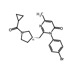 Cc1cc(=O)n(-c2ccc(Br)cc2)c(C[C@@H]2CCN(C(=O)C3CC3)C2)n1